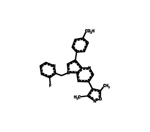 Cc1noc(C)c1-c1cnc2c(-c3ccc(C(=O)O)cc3)cn(Cc3ncccc3F)c2c1